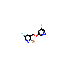 Fc1cncc(OCc2cc(F)cnc2Br)c1